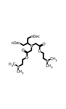 CCCCCCCCCCCC(CCCCCCCCCCC)N(CC(=O)OCCN(C)C)CC(=O)OCCN(C)C